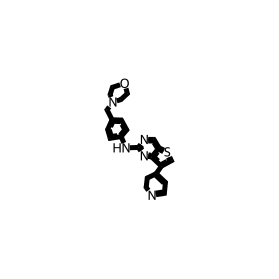 C1=NCCC(c2csc3cnc(Nc4ccc(CN5CCOCC5)cc4)nc23)=C1